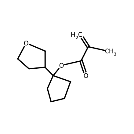 C=C(C)C(=O)OC1(C2CCOC2)CCCC1